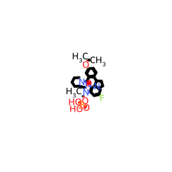 CC(C)Oc1ccc(C2CCCC2)c(C(=O)N2CCCC[C@@]2(C)c2nc3ncc(F)cc3n2COP(=O)(O)O)c1